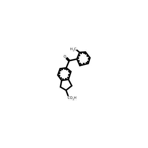 Cc1ccccc1C(=O)c1ccc2c(c1)CC(C(=O)O)C2